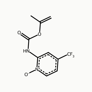 C=C(C)OC(=O)Nc1cc(C(F)(F)F)cc[n+]1[O-]